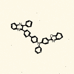 c1ccc(-c2nc3ccccc3nc2-c2ccc(-c3ccc(N(c4ccccc4)c4ccc(-c5nc6ccccc6o5)cc4)cc3)cc2)cc1